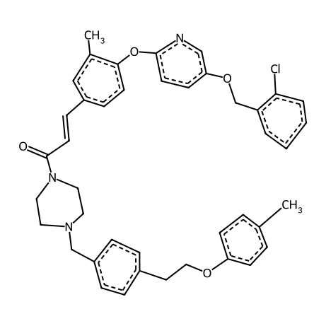 Cc1ccc(OCCc2ccc(CN3CCN(C(=O)/C=C/c4ccc(Oc5ccc(OCc6ccccc6Cl)cn5)c(C)c4)CC3)cc2)cc1